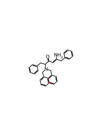 NC(=CC(=O)C(Cc1ccccc1)N(Cc1ccccc1)Cc1ccccc1)Cc1ccccc1